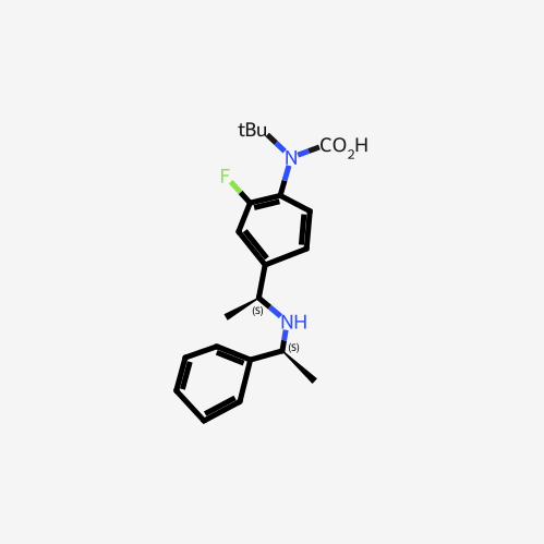 C[C@H](N[C@@H](C)c1ccc(N(C(=O)O)C(C)(C)C)c(F)c1)c1ccccc1